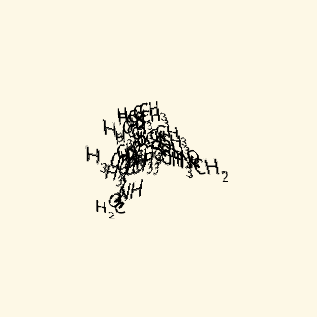 C=CC(=O)NCCCCOc1c(C(C)(C)C)cc(Cc2c(C)c(Cc3cc(C(C)(C)C)c(O)c(C(C)(C)C)c3)c(C)c(Cc3cc(C(C)(C)C)c(OCCCCNC(=O)C=C)c(C(C)(C)C)c3)c2C)cc1C(C)(C)C